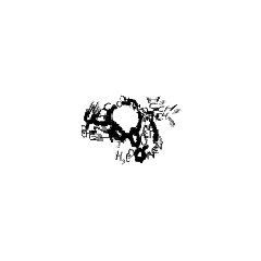 CCn1c(-c2cnccc2COC)c2c3cc(ccc31)-c1cccc(c1)C[C@H](NC(=O)[C@H](C(C)C)N(C)C(=O)CCN=C=Nc1ccc(OC)cc1COC)C(=O)N1CCC[C@H](N1)C(=O)OCC(C)(C)C2